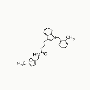 Cc1ccc(CNC(=O)CCCc2cn(Cc3ccccc3C)c3ccccc23)o1